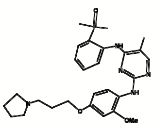 COc1cc(OCCCN2CCCC2)ccc1Nc1ncc(C)c(Nc2ccccc2P(C)(C)=O)n1